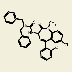 CN1C(=O)C(NC(=S)N(Cc2ccccc2)Cc2ccccc2)N=C(c2ccccc2Cl)c2cc(Cl)ccc21